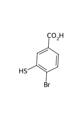 O=C(O)c1ccc(Br)c(S)c1